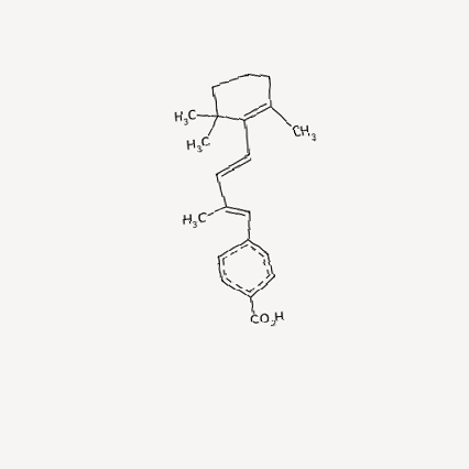 CC(C=CC1=C(C)CCCC1(C)C)=Cc1ccc(C(=O)O)cc1